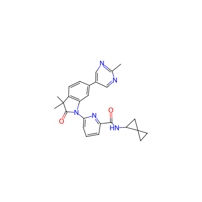 Cc1ncc(-c2ccc3c(c2)N(c2cccc(C(=O)NC4CC45CC5)n2)C(=O)C3(C)C)cn1